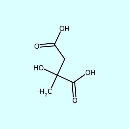 [CH2]C(O)(CC(=O)O)C(=O)O